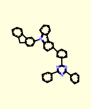 c1ccc(-c2nc(-c3ccccc3)nc(-c3cccc(-c4ccc5c(c4)c4ccccc4n5-c4ccc5c(c4)-c4ccccc4C5)c3)n2)cc1